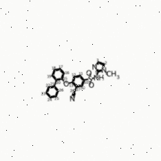 Cn1ccnc1NS(=O)(=O)c1ccc(Oc2ccccc2-c2ccccc2)c(C#N)c1